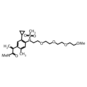 C=C(C(=O)NC)c1cc(C2CC2)c(N(CCOCCOCCOCCOC)S(C)(=O)=O)cc1C